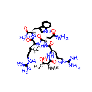 CN[C@H](C(=O)N[C@@H](CCCNC(=N)N)C(=O)N[C@@H](CCC(N)=O)C(=O)N(C)[C@@H](CCCNC(=N)N)C(=O)N[C@@H](Cc1c[nH]c2ccccc12)C(N)=O)[C@@H](C)O